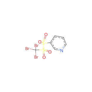 O=S(=O)(c1cccnc1)S(=O)(=O)C(Br)(Br)Br